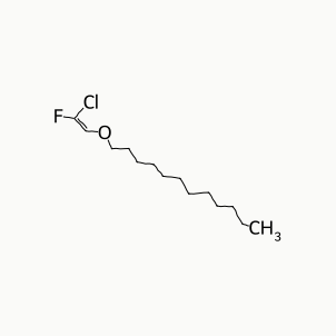 CCCCCCCCCCCCO/C=C(/F)Cl